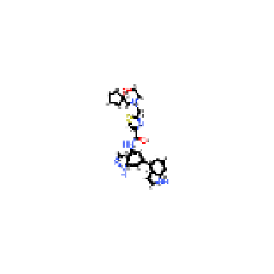 O=C(Nc1cc(-c2cccc3[nH]ccc23)cc2[nH]ncc12)c1csc(CN2CCOC3(CCCC3)C2)n1